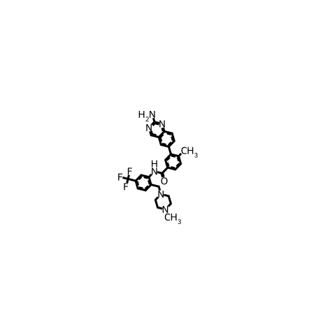 Cc1ccc(C(=O)Nc2cc(C(F)(F)F)ccc2CN2CCN(C)CC2)cc1-c1ccc2nc(N)ncc2c1